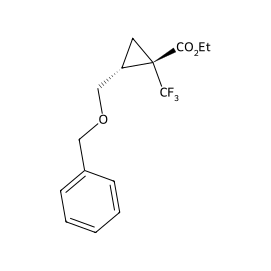 CCOC(=O)[C@]1(C(F)(F)F)C[C@H]1COCc1ccccc1